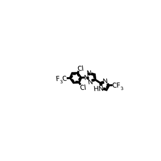 FC(F)(F)c1cc(Cl)c(-n2ncc(-c3nc(C(F)(F)F)c[nH]3)n2)c(Cl)c1